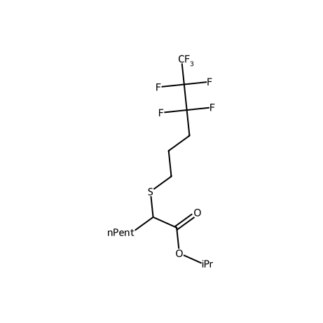 CCCCCC(SCCCC(F)(F)C(F)(F)C(F)(F)F)C(=O)OC(C)C